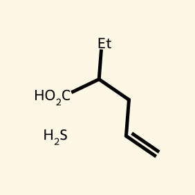 C=CCC(CC)C(=O)O.S